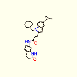 C[C@@H]1CC1c1ccc2c(c1)cc(/C=C/C(=O)Nc1ccc3c(c1)NC(=O)CC3)n2CC1CCCCC1